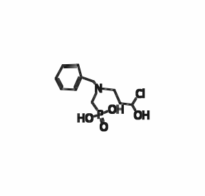 O=P(O)(O)CN(CCC(O)Cl)Cc1ccccc1